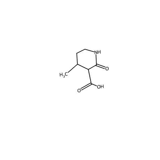 CC1CCNC(=O)C1C(=O)O